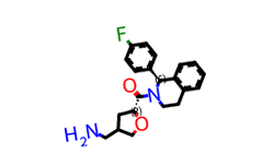 NCC1CO[C@@H](C(=O)N2CCc3ccccc3[C@@H]2c2ccc(F)cc2)C1